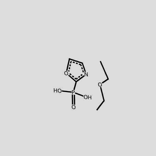 CCOCC.O=P(O)(O)c1ncco1